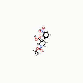 COC(=O)C1=C(c2cccc([N+](=O)[O-])c2)CCN(C(=O)OC(C)(C)C)C1